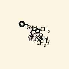 C=C1C=C2C(NOCc3ccccc3)CC(=O)OC2C1O[Si](C)(C)C(C)(C)C